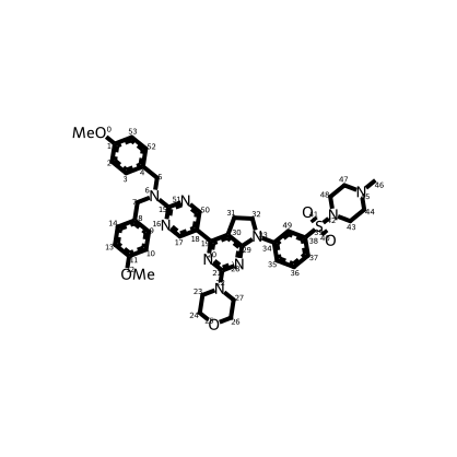 COc1ccc(CN(Cc2ccc(OC)cc2)c2ncc(-c3nc(N4CCOCC4)nc4c3CCN4c3cccc(S(=O)(=O)N4CCN(C)CC4)c3)cn2)cc1